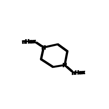 CCCCCCN1CCN(CCCCCC)CC1